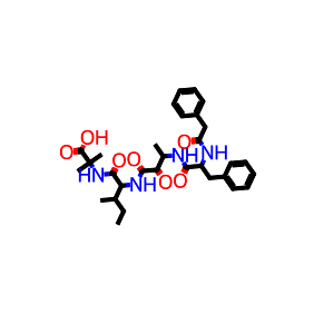 CCC(C)C(NC(=O)C(=O)C(C)NC(=O)C(Cc1ccccc1)NC(=O)Cc1ccccc1)C(=O)NC(C)(C)C(=O)O